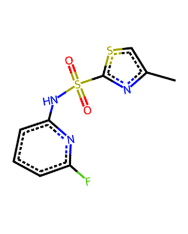 Cc1csc(S(=O)(=O)Nc2cccc(F)n2)n1